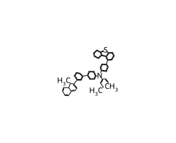 C/C=C\C(=C/CC)N(c1ccc(-c2cccc(C3=CC=C4C=CC=CC4C3C)c2)cc1)c1ccc(-c2cccc3sc4ccccc4c23)cc1